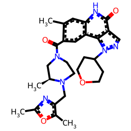 Cc1nc(CN2CCN(C(=O)c3cc4c(cc3C)[nH]c(=O)c3cnn(C5CCOCC5)c34)C[C@@H]2C)c(C)o1